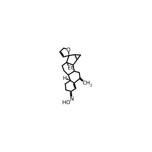 C=C1CC2C(CC[C@@]3(CC)C2C2CC2[C@@]32C=CCO2)[C@H]2CCC(=NO)C=C12